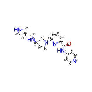 O=C(Nc1ccncc1)c1cccc(N2CC[C@@H](NC[C@@H]3CCNC3)C2)n1